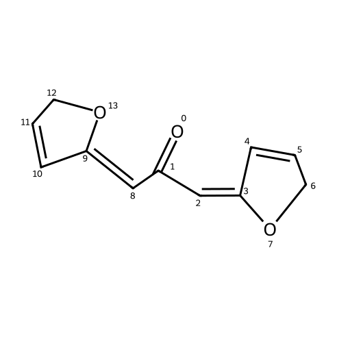 O=C(C=C1C=CCO1)C=C1C=CCO1